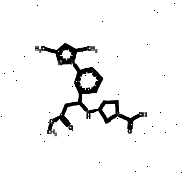 COC(=O)CC(N[C@H]1CCN(C(=O)O)C1)c1cccc(-n2nc(C)cc2C)c1